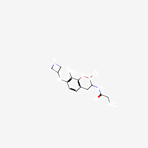 CSCC(=O)NC1Cc2ccc(SC3CNC3)c(C(=O)O)c2OB1O